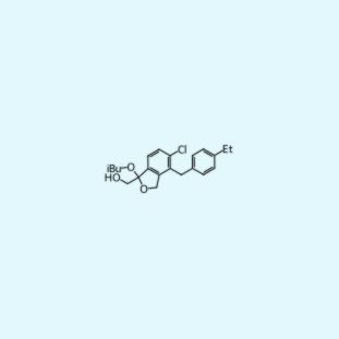 CCc1ccc(Cc2c(Cl)ccc3c2COC3(CO)OC(C)CC)cc1